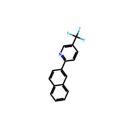 FC(F)(F)c1ccc(-c2ccc3ccccc3c2)nc1